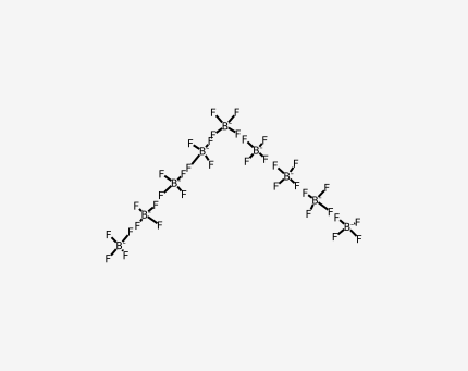 F[B-](F)(F)F.F[B-](F)(F)F.F[B-](F)(F)F.F[B-](F)(F)F.F[B-](F)(F)F.F[B-](F)(F)F.F[B-](F)(F)F.F[B-](F)(F)F.F[B-](F)(F)F